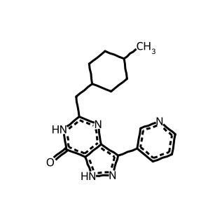 CC1CCC(Cc2nc3c(-c4cccnc4)n[nH]c3c(=O)[nH]2)CC1